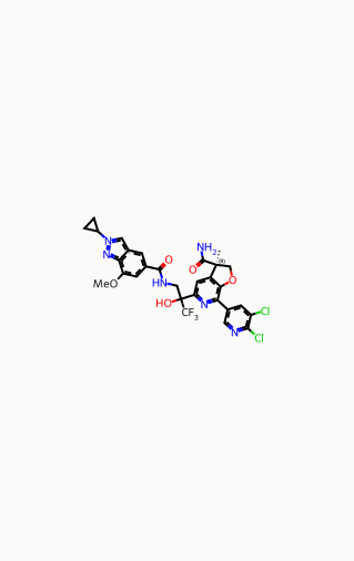 COc1cc(C(=O)NCC(O)(c2cc3c(c(-c4cnc(Cl)c(Cl)c4)n2)OC[C@]3(C)C(N)=O)C(F)(F)F)cc2cn(C3CC3)nc12